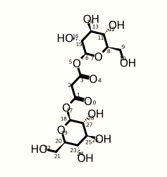 O=C(CC(=O)O[C@@H]1O[C@H](CO)[C@@H](O)[C@H](O)[C@H]1O)O[C@@H]1O[C@H](CO)[C@@H](O)[C@H](O)[C@H]1O